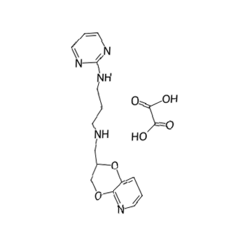 O=C(O)C(=O)O.c1cnc(NCCCNCC2COc3ncccc3O2)nc1